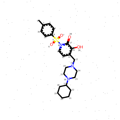 Cc1ccc(S(=O)(=O)n2ccc(CN3CCN(C4CCCCC4)CC3)c(O)c2=O)cc1